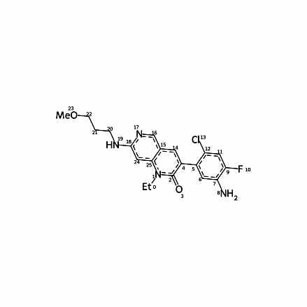 CCn1c(=O)c(-c2cc(N)c(F)cc2Cl)cc2cnc(NCCCOC)cc21